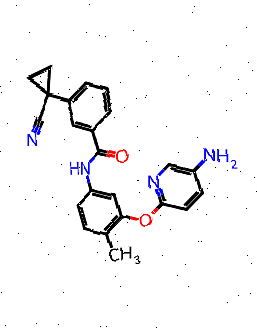 Cc1ccc(NC(=O)c2cccc(C3(C#N)CC3)c2)cc1Oc1ccc(N)cn1